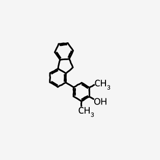 Cc1cc(-c2cccc3c2Cc2ccccc2-3)cc(C)c1O